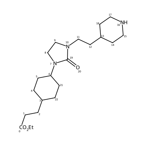 CCOC(=O)CCC1CCC(N2CCN(CCC3CCNCC3)C2=O)CC1